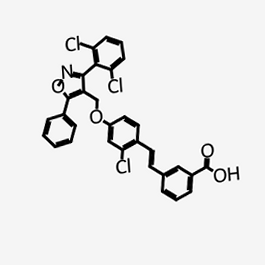 O=C(O)c1cccc(/C=C/c2ccc(OCc3c(-c4c(Cl)cccc4Cl)noc3-c3ccccc3)cc2Cl)c1